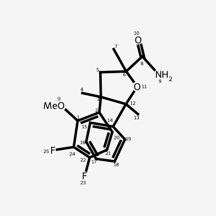 COc1c(C2(C)CC(C)(C(N)=O)OC2(C)c2ccccc2)ccc(F)c1F